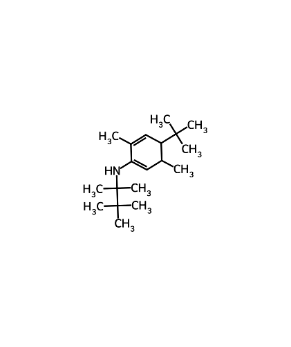 CC1=CC(C(C)(C)C)C(C)C=C1NC(C)(C)C(C)(C)C